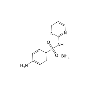 Nc1ccc(S(=O)(=O)Nc2ncccn2)cc1.[BiH3]